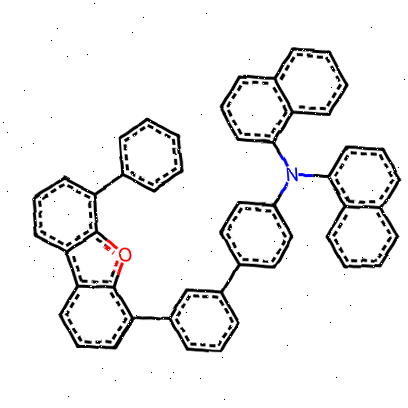 c1ccc(-c2cccc3c2oc2c(-c4cccc(-c5ccc(N(c6cccc7ccccc67)c6cccc7ccccc67)cc5)c4)cccc23)cc1